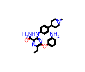 CCc1nc(C(N)=O)c(Nc2ccc(C3CCN(C)CC3)cc2)nc1Oc1cccc(N)c1